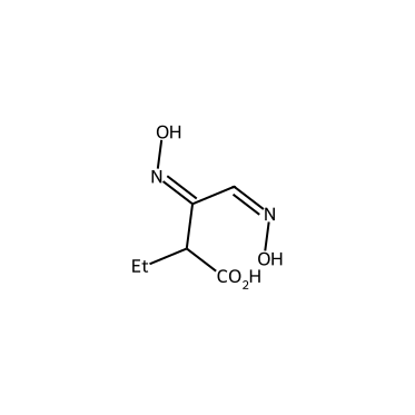 CCC(C(=O)O)C(/C=N\O)=N/O